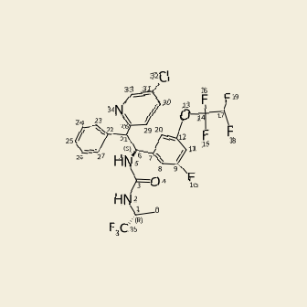 C[C@@H](NC(=O)N[C@H](c1cc(F)cc(OC(F)(F)C(F)F)c1)C(c1ccccc1)c1ccc(Cl)cn1)C(F)(F)F